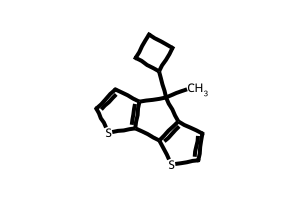 CC1(C2CCC2)c2ccsc2-c2sccc21